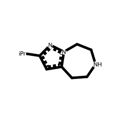 CC(C)c1cc2n(n1)CCNCC2